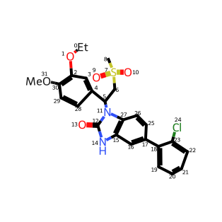 CCOc1cc(C(CS(C)(=O)=O)n2c(=O)[nH]c3cc(-c4ccccc4Cl)ccc32)ccc1OC